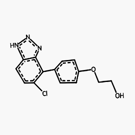 OCCOc1ccc(-c2c(Cl)ccc3[nH]nnc23)cc1